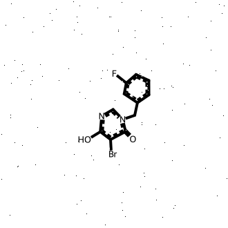 O=c1c(Br)c(O)ncn1Cc1cccc(F)c1